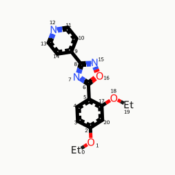 CCOc1ccc(-c2nc(-c3ccncc3)no2)c(OCC)c1